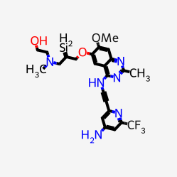 COc1cc2nc(C)nc(NC#Cc3cc(N)cc(C(F)(F)F)n3)c2cc1OCC(=[SiH2])CN(C)CCO